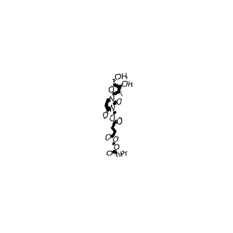 CCCC(=O)OCOC(=O)CCC(=O)OCn1c(=O)ccn([C@@H]2O[C@H](CO)[C@@H](O)[C@@H]2C)c1=O